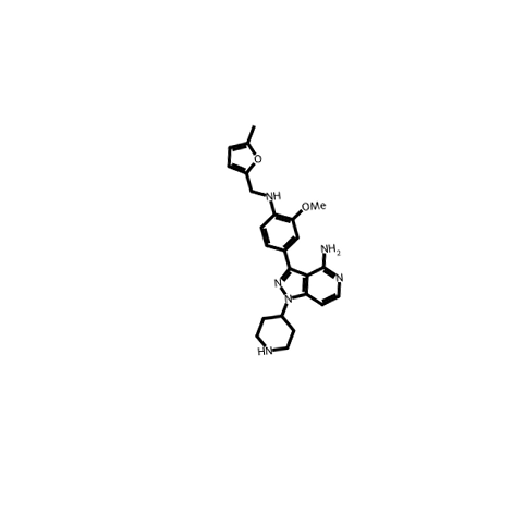 COc1cc(-c2nn(C3CCNCC3)c3ccnc(N)c23)ccc1NCc1ccc(C)o1